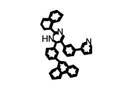 C1=C(c2cccc(-c3cccnc3)c2)C(c2cccc(-c3cc4ccccc4c4ccccc34)c2)NC(C2=c3ccccc3=CCC2)=N1